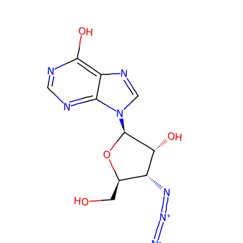 [N-]=[N+]=N[C@H]1[C@@H](O)[C@H](n2cnc3c(O)ncnc32)O[C@@H]1CO